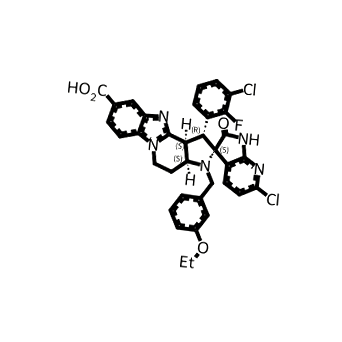 CCOc1cccc(CN2[C@H]3CCn4c(nc5cc(C(=O)O)ccc54)[C@H]3[C@H](c3cccc(Cl)c3F)[C@]23C(=O)Nc2nc(Cl)ccc23)c1